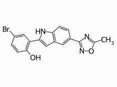 Cc1nc(-c2ccc3[nH]c(-c4cc(Br)ccc4O)cc3c2)no1